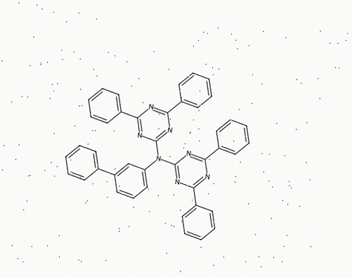 c1ccc(-c2cccc(N(c3nc(-c4ccccc4)nc(-c4ccccc4)n3)c3nc(-c4ccccc4)nc(-c4ccccc4)n3)c2)cc1